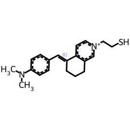 CN(C)c1ccc(/C=C2\CCCc3c[n+](CCS)ccc32)cc1